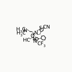 C#CCn1cc(-c2ccccc2[C@@H]2CN(C(=O)/C=C/CN(C)C)Cc3sc(C#N)cc32)c(C(F)(F)F)n1